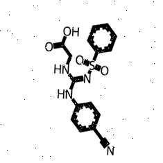 N#Cc1ccc(NC(=NS(=O)(=O)c2ccccc2)NCC(=O)O)cc1